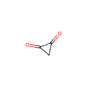 O=C1CC1=O